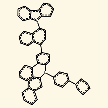 c1ccc(-c2ccc(N(c3ccc4ccccc4c3)c3ccc(-c4ccc(-n5c6ccccc6c6ccccc65)c5ccccc45)cc3-c3ccccc3)cc2)cc1